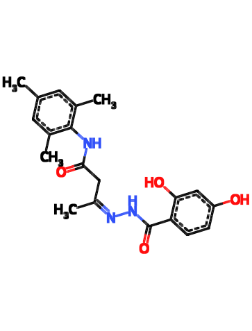 C/C(CC(=O)Nc1c(C)cc(C)cc1C)=N/NC(=O)c1ccc(O)cc1O